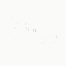 COc1cc(-c2csc(N3CCC(S(=O)(=O)c4ccc(F)cc4Cl)CC3)n2)cc(OC)c1OC